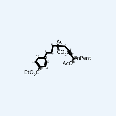 CCCCCC(C#CCC(CCCc1ccc(C(=O)OCC)cc1)(C(C)=O)C(=O)OCC)OC(C)=O